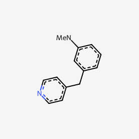 CNc1cccc(Cc2ccncc2)c1